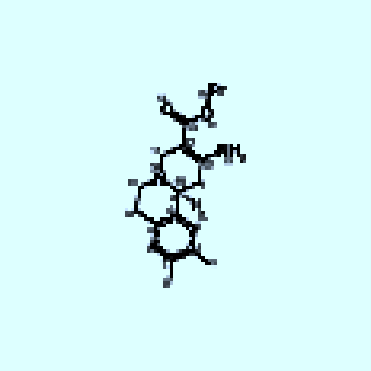 Cc1cc2c(cc1C)[C@@H]1CC(N)=C(C(=O)OC(C)C)CN1CC2